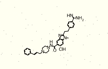 Cl.Cn1c(CCc2ccc(C(=N)N)cc2)nc2cc(C(=O)NN3CCN(CC=Cc4ccccc4)CC3)ccc21